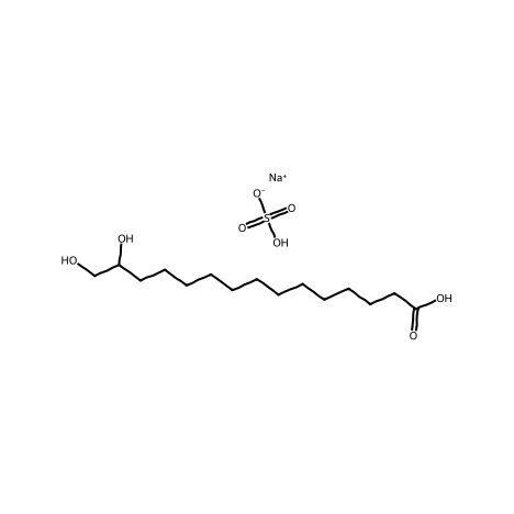 O=C(O)CCCCCCCCCCCCC(O)CO.O=S(=O)([O-])O.[Na+]